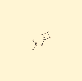 C[SiH](C)OC1=CCC1